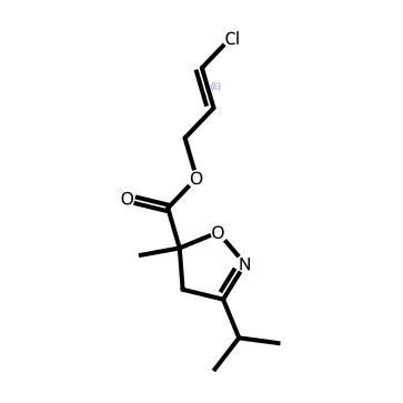 CC(C)C1=NOC(C)(C(=O)OC/C=C/Cl)C1